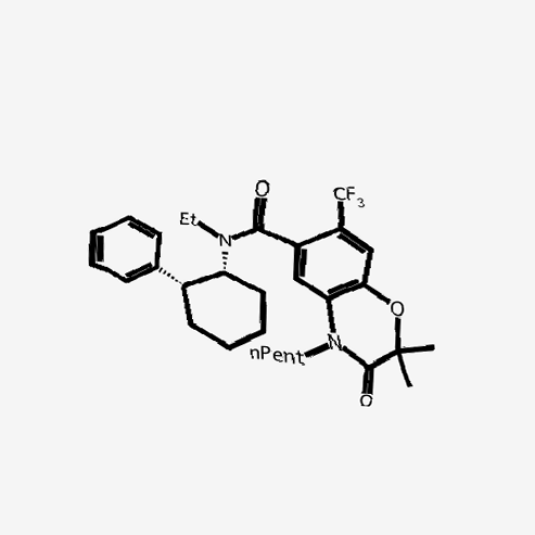 CCCCCN1C(=O)C(C)(C)Oc2cc(C(F)(F)F)c(C(=O)N(CC)[C@@H]3CCCC[C@@H]3c3ccccc3)cc21